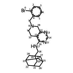 Brc1ccccc1CN1CCc2c(ncnc2NCC23CC4CC(CC(C4)C2)C3)C1